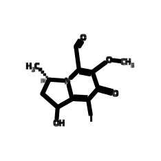 COc1c(C=O)n2c(c(I)c1=O)C(O)C[C@@H]2C